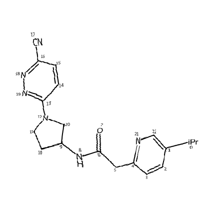 CC(C)c1ccc(CC(=O)NC2CCN(c3ccc(C#N)nn3)C2)nc1